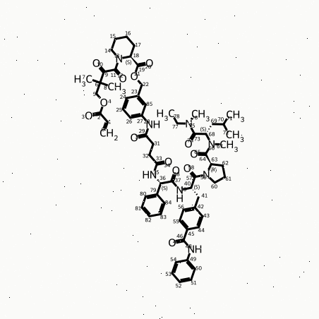 C=CC(=O)OCC(C)(C)C(=O)C(=O)N1CCCC[C@H]1C(=O)OCc1cccc(NC(=O)CCC(=O)N[C@H](C(=O)N[C@@H](Cc2ccc(C(=O)Nc3ccccc3)cc2)C(=O)N2CCC[C@@H]2C(=O)N(C)[C@@H](CC(C)C)C(=O)N(C)CC)c2ccccc2)c1